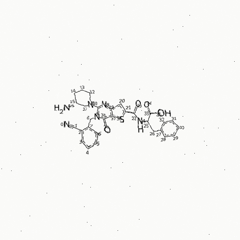 N#Cc1ccccc1Cn1c(N2CCC[C@@H](N)C2)nc2cc(C(=O)NC(Cc3ccccc3)C(=O)O)sc2c1=O